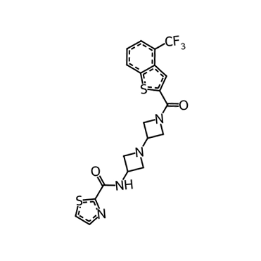 O=C(NC1CN(C2CN(C(=O)c3cc4c(C(F)(F)F)cccc4s3)C2)C1)c1nccs1